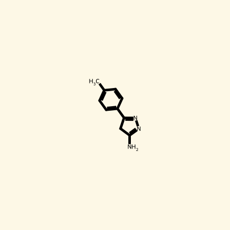 Cc1ccc(C2=NN=C(N)C2)cc1